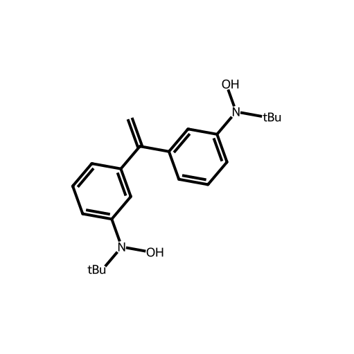 C=C(c1cccc(N(O)C(C)(C)C)c1)c1cccc(N(O)C(C)(C)C)c1